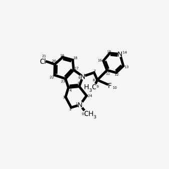 CN1CCc2c(n(CC(C)(F)c3ccncc3)c3ccc(Cl)cc23)C1